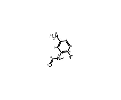 Nc1ccc(F)c(NC=O)c1